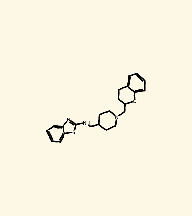 c1ccc2c(c1)CCC(CN1CCC(CNc3nc4ccccc4s3)CC1)O2